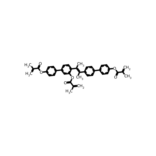 C=C(C)C(=O)Oc1ccc(-c2ccc(/C(C)=C(\C)c3ccc(-c4ccc(OC(=O)C(=C)C)cc4)cc3OC(=O)C(=C)C)cc2)cc1